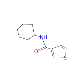 O=C(NC1CCCCC1)c1ccsc1